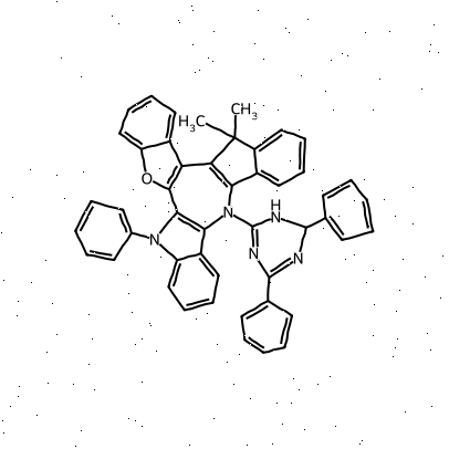 CC1(C)C2=C(c3ccccc31)N(C1=NC(c3ccccc3)=NC(c3ccccc3)N1)c1c(n(-c3ccccc3)c3ccccc13)-c1oc3ccccc3c12